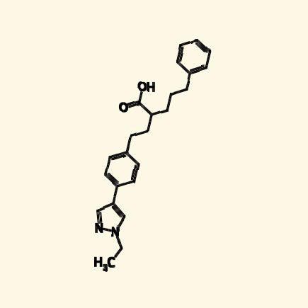 CCn1cc(-c2ccc(CCC(CCCc3ccccc3)C(=O)O)cc2)cn1